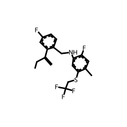 C=C(CC)c1cc(F)ccc1CNc1cc(SCC(F)(F)F)c(C)cc1F